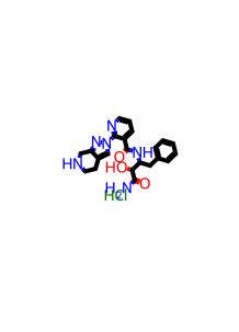 Cl.NC(=O)C(O)C(Cc1ccccc1)NC(=O)c1cccnc1-n1cc2c(n1)CNCC2